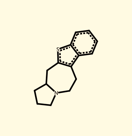 c1ccc2c3c(sc2c1)CC1CCCN1CC3